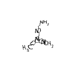 Cc1ccc2c(c1)c1c(n2CCc2ccc(CCCN)nc2)CC2CCC1N2C